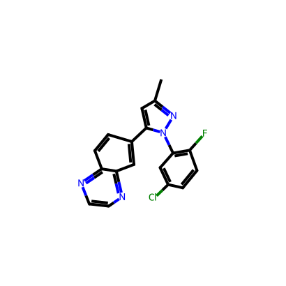 Cc1cc(-c2ccc3nccnc3c2)n(-c2cc(Cl)ccc2F)n1